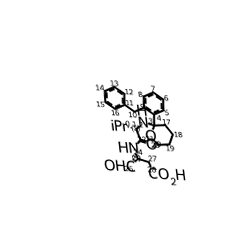 CC(C)[C@H](NC1(c2ccccc2Cc2ccccc2)CCCCO1)C(=O)N[C@H](C=O)CC(=O)O